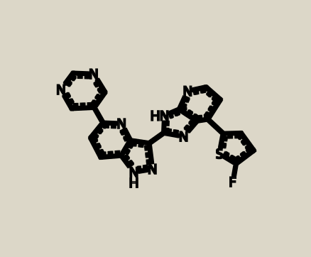 Fc1ccc(-c2ccnc3[nH]c(-c4n[nH]c5ccc(-c6cncnc6)nc45)nc23)s1